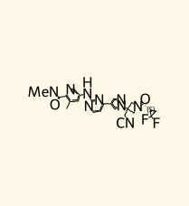 CNC(=O)c1ncc(Nc2nccc(-c3cnn(C4(CC#N)CN(C(=O)[C@@H]5CC5(F)F)C4)c3)n2)cc1C